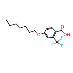 CCCCCCCOc1ccc(C(=O)O)c(C(F)(F)F)c1